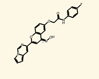 O=C(COc1ccc2oc(-c3cc4cccn4cn3)c/c(=N/O)c2c1)Nc1ccc(F)cc1